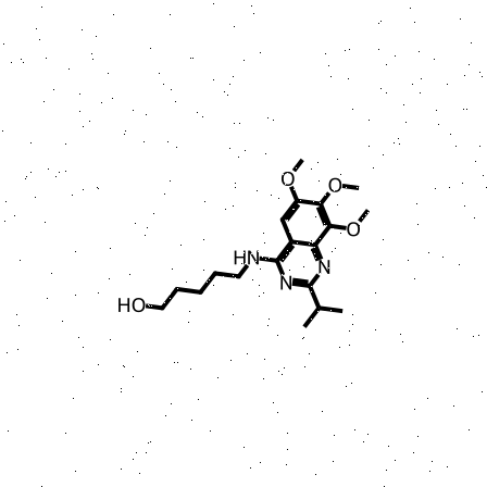 COc1cc2c(NCCCCCO)nc(C(C)C)nc2c(OC)c1OC